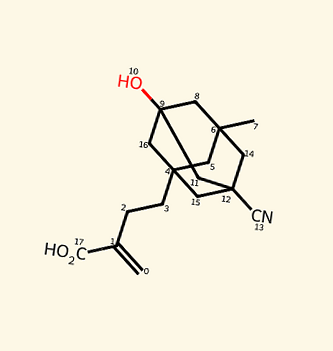 C=C(CCC12CC3(C)CC(O)(CC(C#N)(C3)C1)C2)C(=O)O